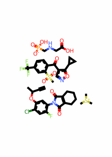 C#CC(C)Oc1cc(N2C(=O)C3=C(CCCC3)C2=O)c(F)cc1Cl.CS(=O)(=O)c1cc(C(F)(F)F)ccc1C(=O)c1cnoc1C1CC1.C[S+](C)C.O=C(O)CNCP(=O)([O-])O